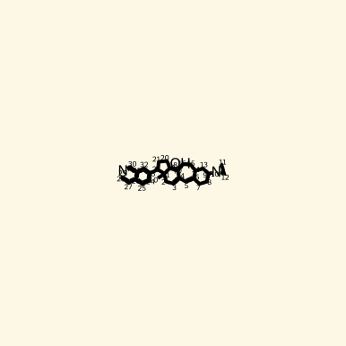 CC12CC=C3C=C4CCC(N5CC5)CC4CC[C@]3(O)C1CCC2c1ccc2ccncc2c1